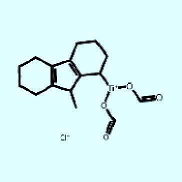 CC1C2=C(CCCC2)C2=C1[CH]([Ti+]([O]C=O)[O]C=O)CCC2.[Cl-]